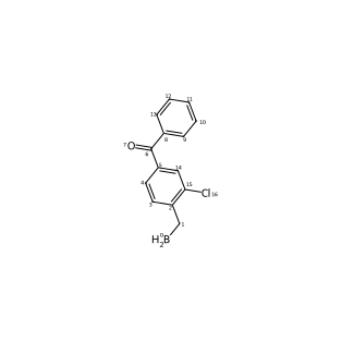 BCc1ccc(C(=O)c2ccccc2)cc1Cl